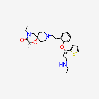 CCNCC[C@@H](Oc1ccccc1CCN1CCC2(CC1)CN(CC)C(=O)[C@@H](C)O2)c1cccs1